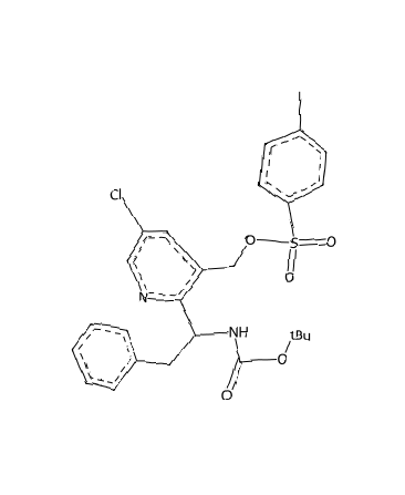 Cc1ccc(S(=O)(=O)OCc2cc(Cl)cnc2C(Cc2ccccc2)NC(=O)OC(C)(C)C)cc1